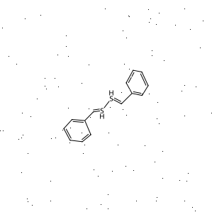 C(=[SH][SH]=Cc1ccccc1)c1ccccc1